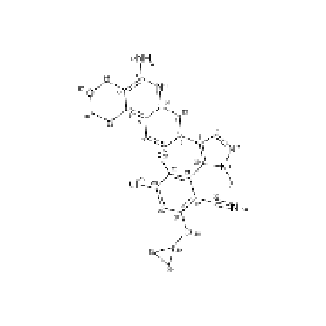 Cn1ncc(-c2ccc3c4c(c(N)nc3c2)COCC4)c1-c1c(F)c(Cl)cc(OC2CC2)c1C#N